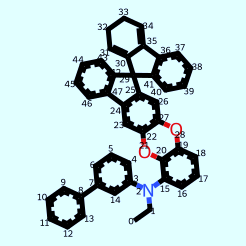 CCN(c1cccc(-c2ccccc2)c1)c1cccc2c1Oc1cc3c(cc1O2)C1(C2=CCCC=C2c2ccccc21)c1ccccc1-3